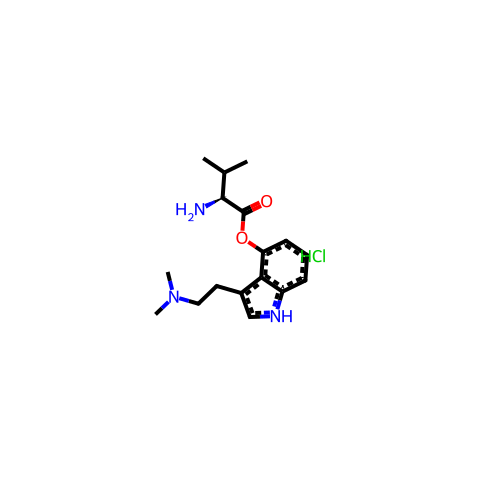 CC(C)[C@H](N)C(=O)Oc1cccc2[nH]cc(CCN(C)C)c12.Cl